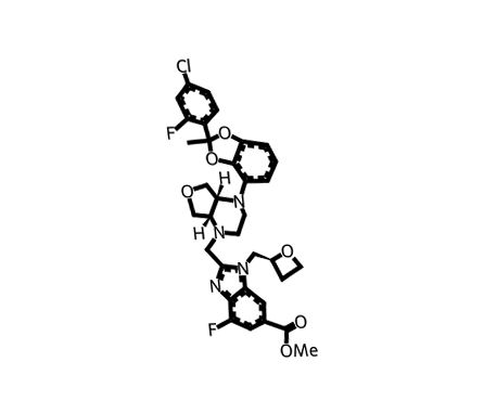 COC(=O)c1cc(F)c2nc(CN3CCN(c4cccc5c4OC(C)(c4ccc(Cl)cc4F)O5)[C@H]4COC[C@H]43)n(C[C@@H]3CCO3)c2c1